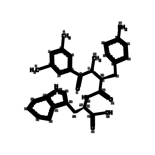 Cc1cc(C)cc(C(=O)N(C)[C@@H](Cc2ccc(N)cc2)C(=O)N[C@@H](Cc2c[nH]c3ccccc23)C(=O)O)c1